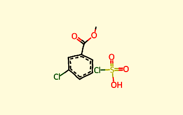 COC(=O)c1cccc(Cl)c1.O=S(=O)(O)Cl